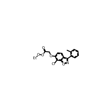 CCOOC(=O)COc1ccc2c(-c3ccccc3C)noc2c1Cl